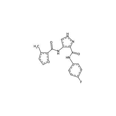 Cc1ccoc1C(=O)Nc1c[nH]nc1C(=O)Nc1ccc(F)cc1